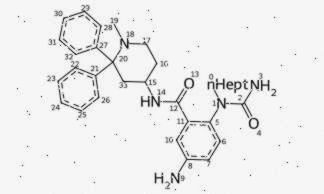 CCCCCCCN(C(N)=O)c1ccc(N)cc1C(=O)NC1CCN(C)C(c2ccccc2)(c2ccccc2)C1